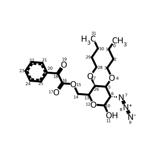 CCCCOC1[C@H](N=[N+]=[N-])C(O)OC(COC(=O)C(=O)c2ccccc2)[C@H]1OCCCC